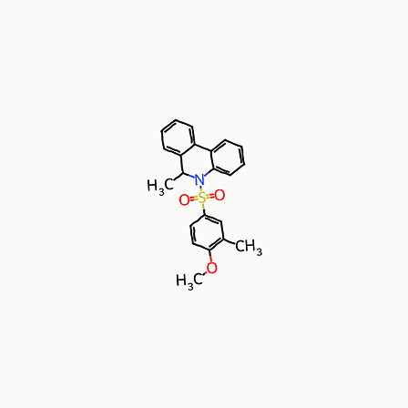 COc1ccc(S(=O)(=O)N2c3ccccc3-c3ccccc3C2C)cc1C